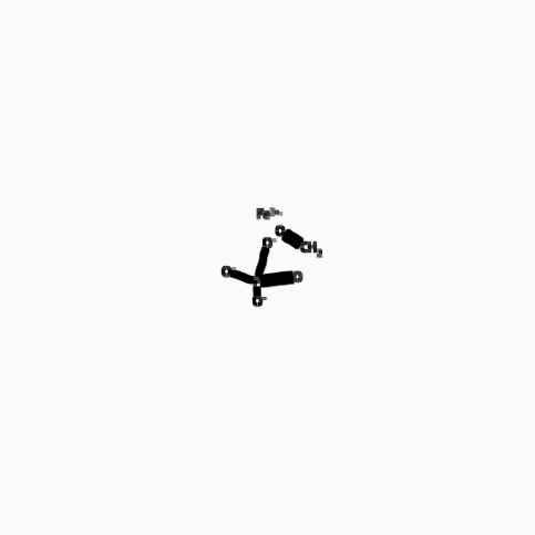 C=O.O=P([O-])([O-])[O-].[Fe+3]